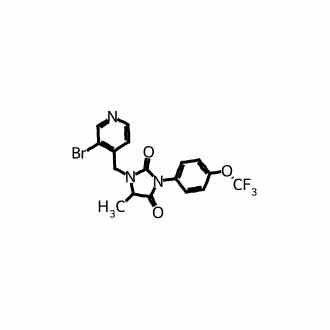 CC1C(=O)N(c2ccc(OC(F)(F)F)cc2)C(=O)N1Cc1ccncc1Br